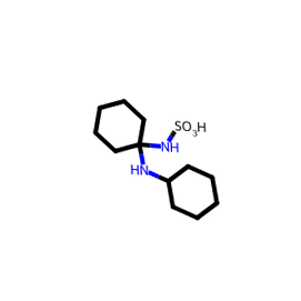 O=S(=O)(O)NC1(NC2CCCCC2)CCCCC1